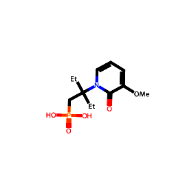 CCC(CC)(CP(=O)(O)O)n1cccc(OC)c1=O